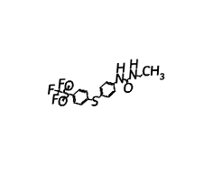 CCNC(=O)Nc1ccc(Sc2ccc(S(=O)(=O)C(F)(F)F)cc2)cc1